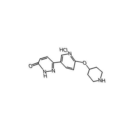 Cl.O=c1ccc(-c2ccc(OC3CCNCC3)nc2)n[nH]1